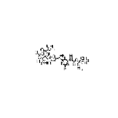 C#C[C@@]1(CC2(OC(=O)OC)OC(=O)OC2C)O[C@@H](n2cnc3c(NC(=O)OC(C)(C)C)nc(F)nc32)C[C@@H]1O